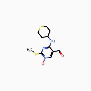 CSc1nc(NC2CCSCC2)c(C=O)c[n+]1[O-]